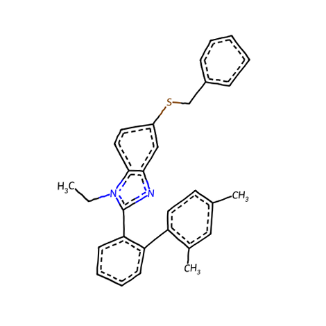 CCn1c(-c2ccccc2-c2ccc(C)cc2C)nc2cc(SCc3ccccc3)ccc21